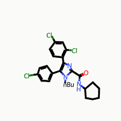 CCCCn1c(C(=O)NC2CCCCC2)nc(-c2ccc(Cl)cc2Cl)c1-c1ccc(Cl)cc1